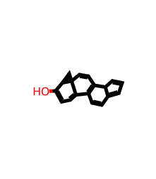 OC1=CC=C2C3=C(C=CC24C=C14)C1C=CC=C1C=C3